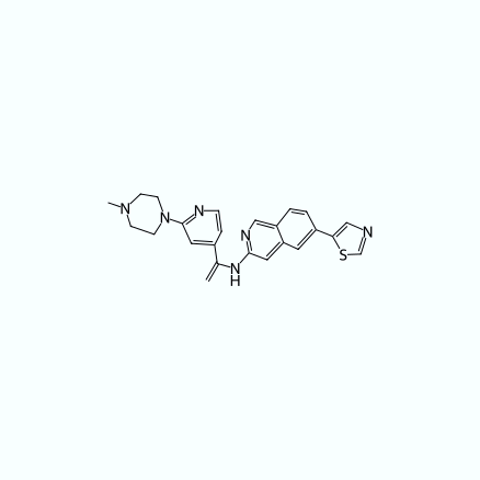 C=C(Nc1cc2cc(-c3cncs3)ccc2cn1)c1ccnc(N2CCN(C)CC2)c1